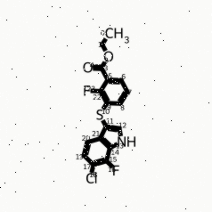 CCOC(=O)c1cccc(Sc2c[nH]c3c(F)c(Cl)ccc23)c1F